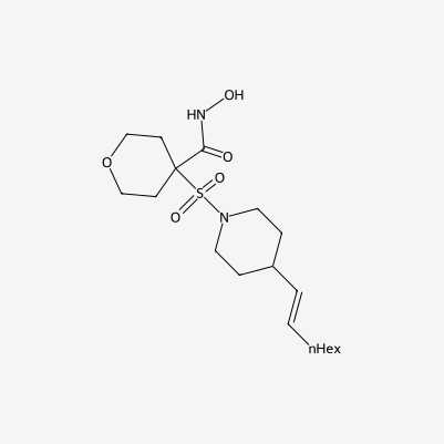 CCCCCCC=CC1CCN(S(=O)(=O)C2(C(=O)NO)CCOCC2)CC1